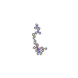 c1ccc(-c2ccc3c(ccc4cc(N(c5ccc(-c6ccc7c(ccc8cc(-c9ccc%10c(c9)sc9c(-c%11ccc(N(c%12ccccc%12)c%12cccc(-c%13ccccc%13N(c%13ccccc%13)c%13ccccc%13)c%12)cc%11)cccc9%10)ccc87)c6)cc5)c5cccc(-c6ccccc6N(c6ccc(-c7cc8ccccc8c8c7sc7ccccc78)cc6)c6cc7ccccc7c7ccccc67)c5)ccc43)c2)cc1